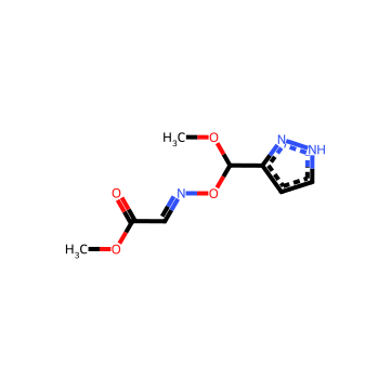 COC(=O)C=NOC(OC)c1cc[nH]n1